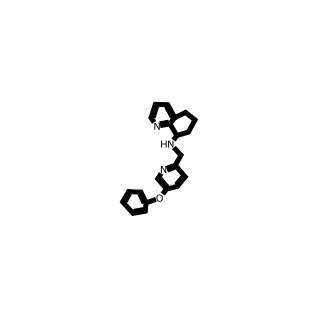 c1ccc(Oc2ccc(CNC3CCCc4cccnc43)nc2)cc1